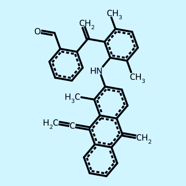 C=C=c1c2ccccc2c(=C)c2ccc(Nc3c(C)ccc(C)c3C(=C)c3ccccc3C=O)c(C)c12